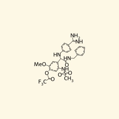 COc1cc(C(Nc2ccc(C(=N)N)cc2)C(=O)NCc2ccccc2)c(NS(C)(=O)=O)cc1OC(=O)C(F)(F)F